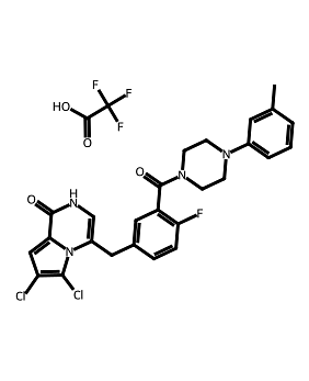 Cc1cccc(N2CCN(C(=O)c3cc(Cc4c[nH]c(=O)c5cc(Cl)c(Cl)n45)ccc3F)CC2)c1.O=C(O)C(F)(F)F